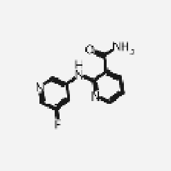 NC(=O)c1cccnc1Nc1cncc(F)c1